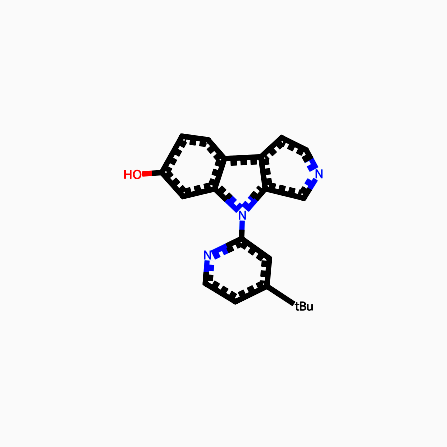 CC(C)(C)c1ccnc(-n2c3cnccc3c3ccc(O)cc32)c1